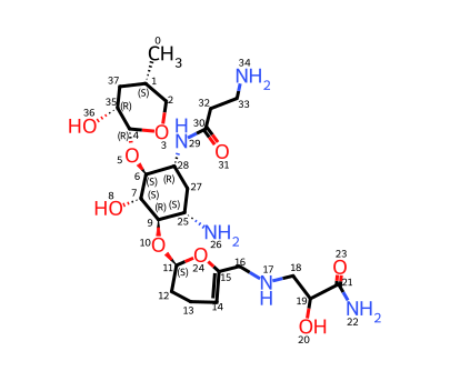 C[C@@H]1CO[C@H](O[C@@H]2[C@@H](O)[C@H](O[C@@H]3CCC=C(CNCC(O)C(N)=O)O3)[C@@H](N)C[C@H]2NC(=O)CCN)[C@H](O)C1